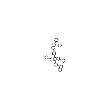 c1ccc(-c2ccc3c(-c4cccc(-c5cccc6ccccc56)c4)c4cc(-c5ccccc5)ccc4c(-c4ccc(-c5ccc6c(c5)C(c5ccccc5)C(c5ccccc5)O6)cc4)c3c2)cc1